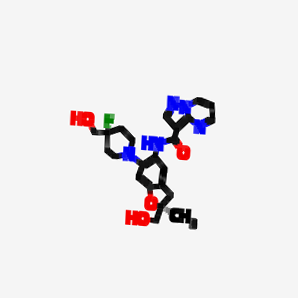 C[C@@]1(CO)Cc2cc(NC(=O)c3cnn4cccnc34)c(N3CCC(F)(CO)CC3)cc2O1